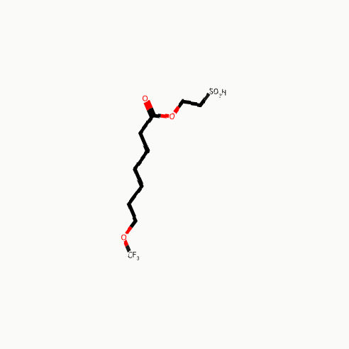 O=C(CCCCCCOC(F)(F)F)OCCS(=O)(=O)O